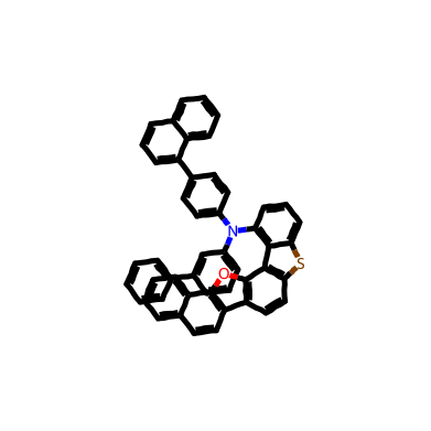 c1ccc(-c2cccc(N(c3ccc(-c4cccc5ccccc45)cc3)c3cccc4sc5ccc6c7ccc8ccccc8c7oc6c5c34)c2)cc1